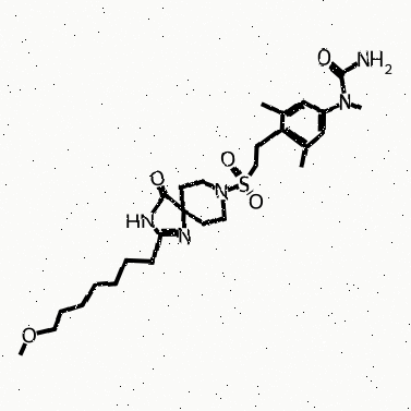 COCCCCCCCC1=NC2(CCN(S(=O)(=O)CCc3c(C)cc(N(C)C(N)=O)cc3C)CC2)C(=O)N1